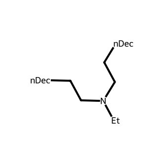 [CH2]CN(CCCCCCCCCCCC)CCCCCCCCCCCC